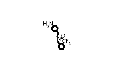 Nc1ccc(CCN(Cc2ccccc2)C(=O)C(F)(F)F)cc1